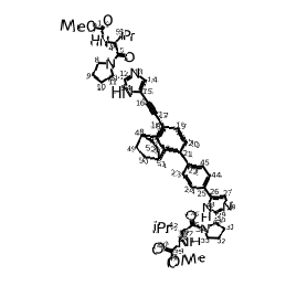 COC(=O)N[C@H](C(=O)N1CCC[C@H]1c1ncc(C#Cc2ccc(-c3ccc(-c4cnc([C@@H]5CCCN5C(=O)[C@H](NC(=O)OC)C(C)C)[nH]4)cc3)c3c2C2CCC3CC2)[nH]1)C(C)C